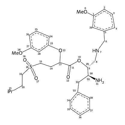 COc1cccc(CNC[C@@H](OC(=O)C(CCS(=O)(=O)CCC(C)C)Oc2cccc(OC)c2)[C@@H](N)Cc2ccccc2)c1